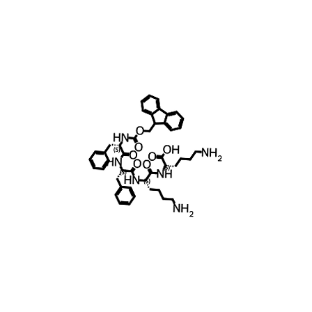 NCCCC[C@H](NC(=O)[C@H](CCCCN)NC(=O)[C@H](Cc1ccccc1)NC(=O)[C@H](Cc1ccccc1)NC(=O)OCC1c2ccccc2-c2ccccc21)C(=O)O